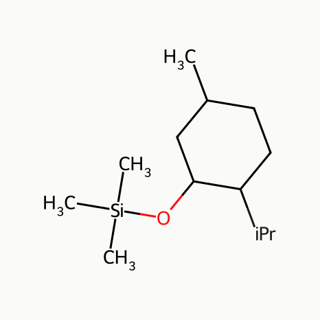 CC1CCC(C(C)C)C(O[Si](C)(C)C)C1